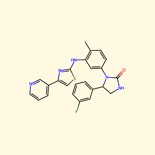 Cc1ccc(N2C(=O)NCC2c2cccc(F)c2)cc1Nc1nc(-c2cccnc2)cs1